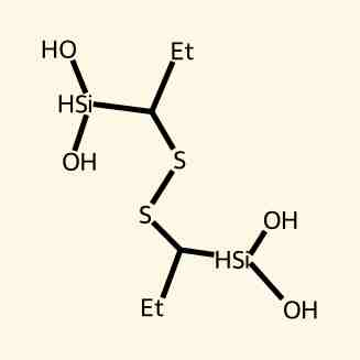 CCC(SSC(CC)[SiH](O)O)[SiH](O)O